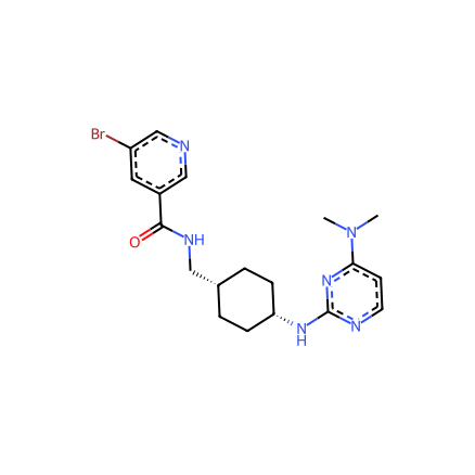 CN(C)c1ccnc(N[C@H]2CC[C@@H](CNC(=O)c3cncc(Br)c3)CC2)n1